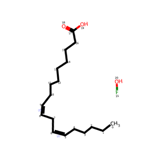 CCCCC/C=C\C/C=C\CCCCCCCC(=O)O.OF